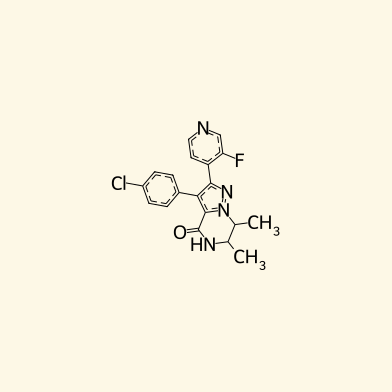 CC1NC(=O)c2c(-c3ccc(Cl)cc3)c(-c3ccncc3F)nn2C1C